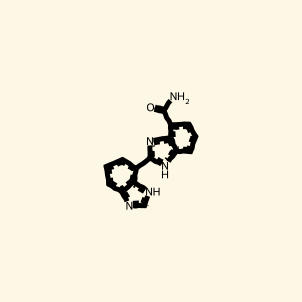 NC(=O)c1cccc2[nH]c(-c3cccc4n[c][nH]c34)nc12